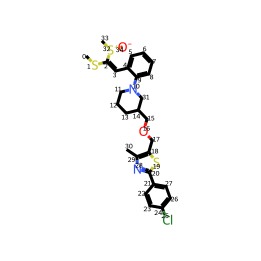 CSC(=Cc1ccccc1N1CCCC(COCc2sc(-c3ccc(Cl)cc3)nc2C)C1)[S+](C)[O-]